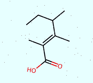 CCC(C)C(C)=C(C)C(=O)O